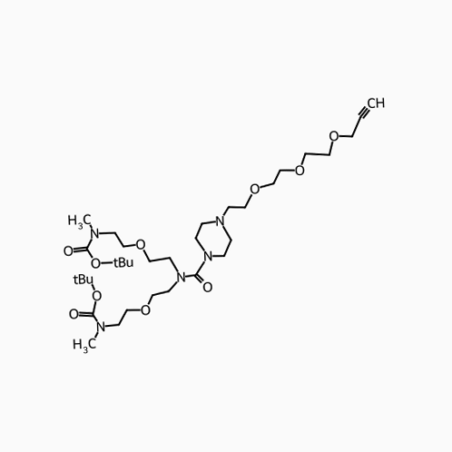 C#CCOCCOCCOCCN1CCN(C(=O)N(CCOCCN(C)C(=O)OC(C)(C)C)CCOCCN(C)C(=O)OC(C)(C)C)CC1